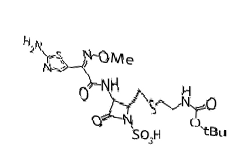 CON=C(C(=O)NC1C(=O)N(S(=O)(=O)O)C1CSCCNC(=O)OC(C)(C)C)c1cnc(N)s1